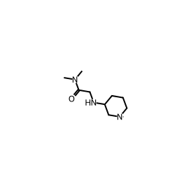 CN(C)C(=O)CNC1CCC[N]C1